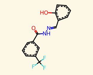 O=C(N/N=C/c1ccccc1O)c1cccc(C(F)(F)F)c1